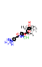 Cc1c(C)c2c(c(C)c1O)CCC(C)(CCOc1cccc(NC(=O)C=Cc3ccc(NC(=N)N)cc3)c1)O2.Cl